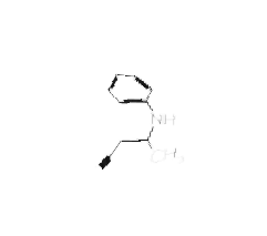 [C]#CCC(C)Nc1ccccc1